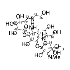 CN[C@@H]1[C@@H](O)[C@@H](O[C@H]2[C@H](NC(CO)CO)C[C@H](N)C(O[C@H]3O[C@H](CNCCO)[C@@H](O)[C@H](O)[C@H]3O)[C@@H]2O)OC[C@]1(C)O